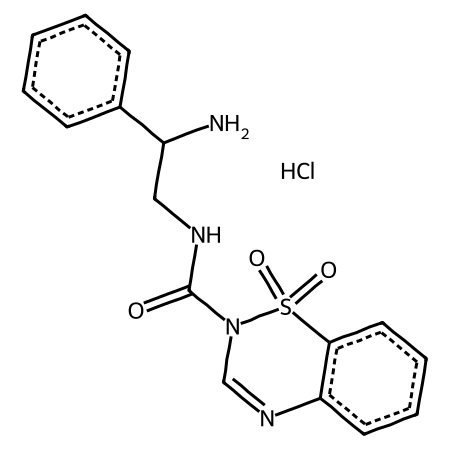 Cl.NC(CNC(=O)N1C=Nc2ccccc2S1(=O)=O)c1ccccc1